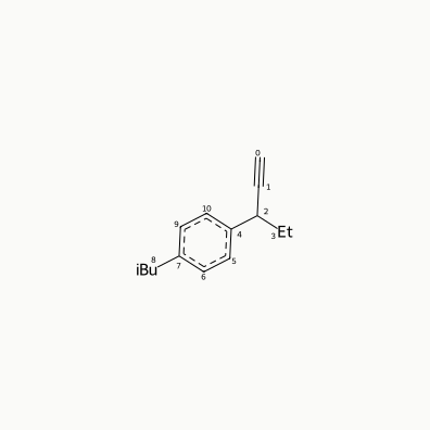 [C]#CC(CC)c1ccc(C(C)CC)cc1